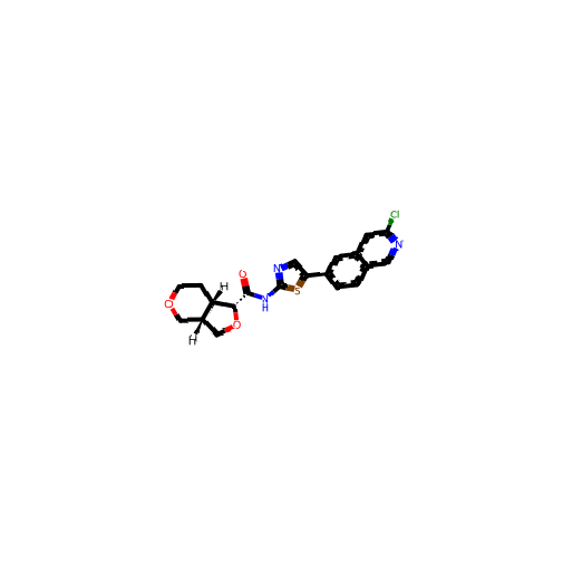 O=C(Nc1ncc(-c2ccc3cnc(Cl)cc3c2)s1)[C@@H]1OC[C@@H]2COCC[C@@H]21